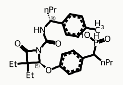 CCCC(c1ccc(O[C@@H]2N(C(=O)N[C@H](CCC)c3ccc(C)cc3)C(=O)C2(CC)CC)cc1)[PH](=O)O